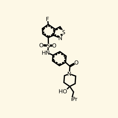 CC(C)CC1(O)CCN(C(=O)c2ccc(NS(=O)(=O)c3ccc(F)c4csnc34)cc2)CC1